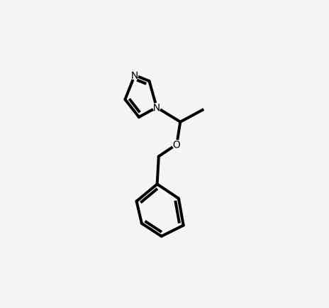 CC(OCc1ccccc1)n1ccnc1